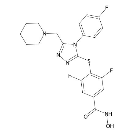 O=C(NO)c1cc(F)c(Sc2nnc(CN3CCCCC3)n2-c2ccc(F)cc2)c(F)c1